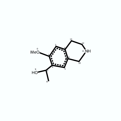 COc1cc2c(cc1C(C)O)CNCC2